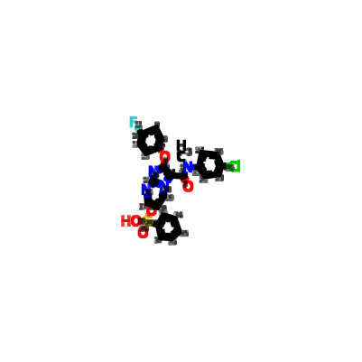 CN(C(=O)c1c(Oc2ccc(F)cc2)nc2ncccn12)c1ccc(Cl)cc1.O=S(=O)(O)c1ccccc1